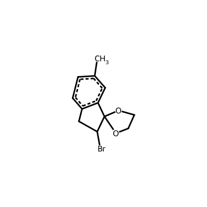 Cc1ccc2c(c1)C1(OCCO1)C(Br)C2